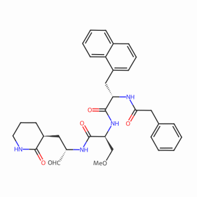 COC[C@H](NC(=O)[C@H](Cc1cccc2ccccc12)NC(=O)Cc1ccccc1)C(=O)N[C@H](C=O)C[C@@H]1CCCNC1=O